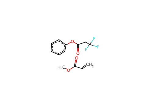 C=CC(=O)OC.O=C(CC(F)(F)F)Oc1ccccc1